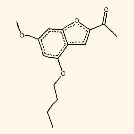 CCCCOc1cc(OC)cc2oc(C(C)=O)cc12